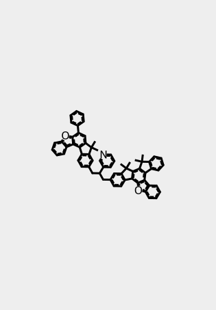 CC1(C)c2cc(CC(Cc3ccc4c(c3)C(C)(C)c3c5c(c6c(oc7ccccc76)c3-4)-c3ccccc3C5(C)C)c3cccnc3)ccc2-c2c1cc(-c1ccccc1)c1oc3ccccc3c21